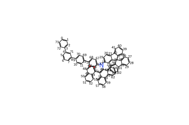 c1ccc(-c2cccc(-c3ccc(-c4ccc(N(c5ccc6c(c5)C5(c7ccccc7-c7ccccc75)c5ccccc5-6)c5c(-c6cccc7ccccc67)c6ccccc6c6ccccc56)cc4)cc3)c2)cc1